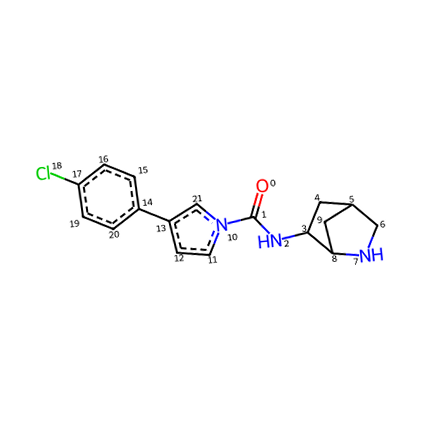 O=C(NC1CC2CNC1C2)n1ccc(-c2ccc(Cl)cc2)c1